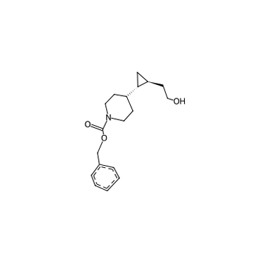 O=C(OCc1ccccc1)N1CCC([C@@H]2C[C@H]2CCO)CC1